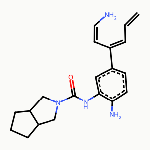 C=C/C=C(\C=C/N)c1ccc(N)c(NC(=O)N2CC3CCCC3C2)c1